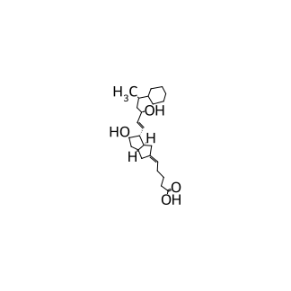 CC(C[C@@H](O)/C=C/[C@@H]1[C@H]2C/C(=C/CCCC(=O)O)C[C@@H]2C[C@H]1O)C1CCCCC1